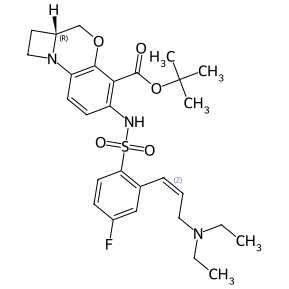 CCN(CC)C/C=C\c1cc(F)ccc1S(=O)(=O)Nc1ccc2c(c1C(=O)OC(C)(C)C)OC[C@H]1CCN21